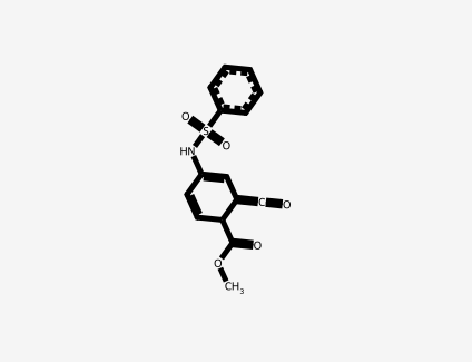 COC(=O)C1C=CC(NS(=O)(=O)c2ccccc2)=CC1=C=O